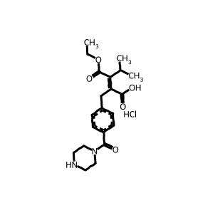 CCOC(=O)C(=C(Cc1ccc(C(=O)N2CCNCC2)cc1)C(=O)O)C(C)C.Cl